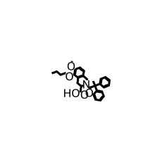 CCCCOc1c(OC)ccc2c1CC(C(=O)O)N(C(=O)C(C)(c1ccccc1)c1ccccc1)C2